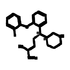 CC(=O)NC(O)CC[C@H](c1ccccc1Oc1ccccc1C)[C@H]1CCCNC1